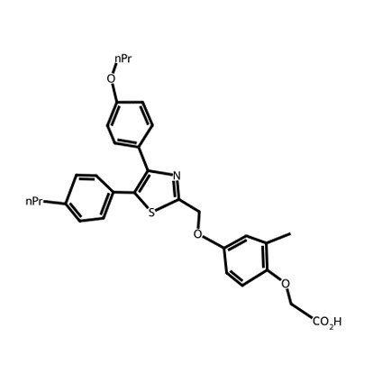 CCCOc1ccc(-c2nc(COc3ccc(OCC(=O)O)c(C)c3)sc2-c2ccc(CCC)cc2)cc1